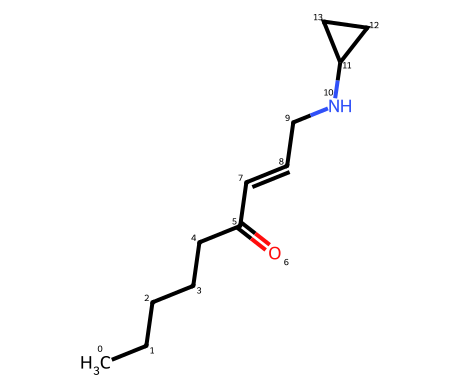 CCCCCC(=O)/C=C/CNC1CC1